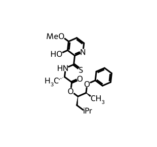 COc1ccnc(C(=S)N[C@@H](C)C(=O)O[C@H](CC(C)C)[C@H](C)Oc2ccccc2)c1O